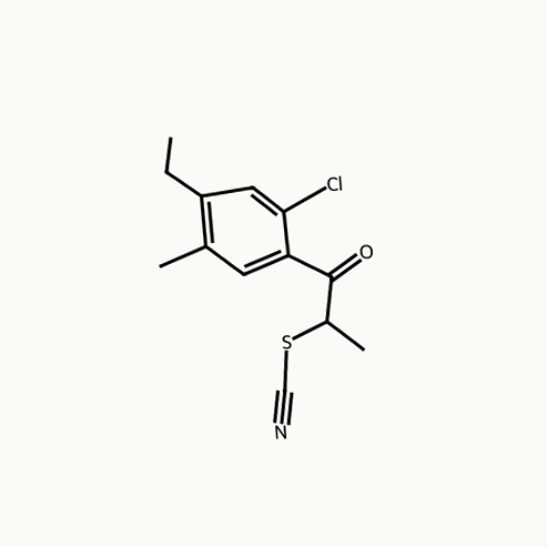 CCc1cc(Cl)c(C(=O)C(C)SC#N)cc1C